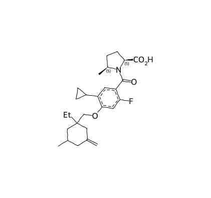 C=C1CC(C)CC(CC)(COc2cc(F)c(C(=O)N3[C@@H](C)CC[C@H]3C(=O)O)cc2C2CC2)C1